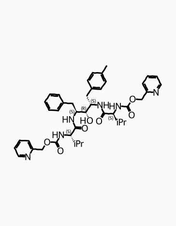 Cc1ccc(C[C@H](NC(=O)[C@@H](NC(=O)OCc2ccccn2)C(C)C)[C@H](O)[C@H](Cc2ccccc2)NC(=O)[C@@H](NC(=O)OCc2ccccn2)C(C)C)cc1